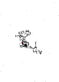 N#Cc1ccc(COc2cccc([C@]34CCN(Cc5nc6[nH]c(C(=O)O)cc6n5C[C@@H]5CCO5)C[C@H]3C4)n2)c(F)c1